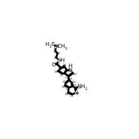 CN(C)CCCNC(=O)c1ccc2c(-c3ccc4ccnc(N)c4c3)c[nH]c2c1